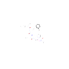 CCC[C@H](NC(=O)[C@@H]1C[C@@H](OCc2ccccc2)CN1C(=O)[C@@H](NC(=O)[C@@H](NC(=O)[C@@H](CCC(=O)O)NC(=O)[C@H](CC(=O)O)NC(C)=O)[C@@H](C)CC)C(C)C)C(=O)O